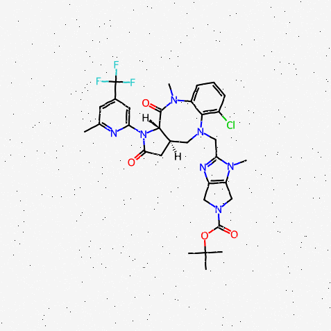 Cc1cc(C(F)(F)F)cc(N2C(=O)C[C@@H]3CN(Cc4nc5c(n4C)CN(C(=O)OC(C)(C)C)C5)c4c(Cl)cccc4N(C)C(=O)[C@H]32)n1